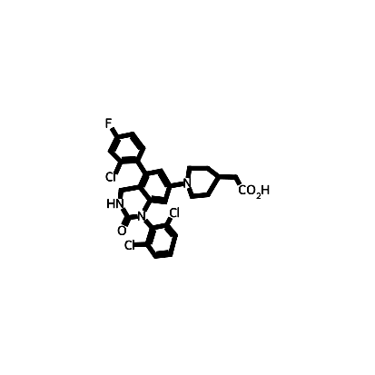 O=C(O)CC1CCN(c2cc(-c3ccc(F)cc3Cl)c3c(c2)N(c2c(Cl)cccc2Cl)C(=O)NC3)CC1